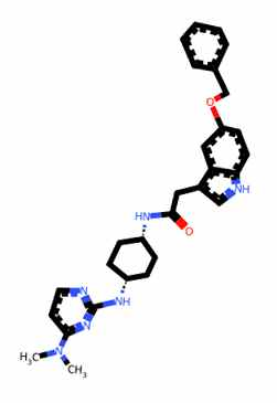 CN(C)c1ccnc(N[C@H]2CC[C@@H](NC(=O)Cc3c[nH]c4ccc(OCc5ccccc5)cc34)CC2)n1